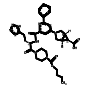 CCCCOC(=O)N1CCN(C(=O)[C@H](CCc2nnn[nH]2)NC(=O)c2cc(N3C[C@@H]4[C@H](C3)[C@@H]4C(=O)O)nc(-c3ccccc3)n2)CC1